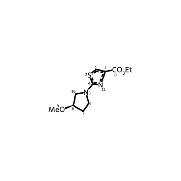 CCOC(=O)c1csc(N2CC[C@@H](OC)C2)n1